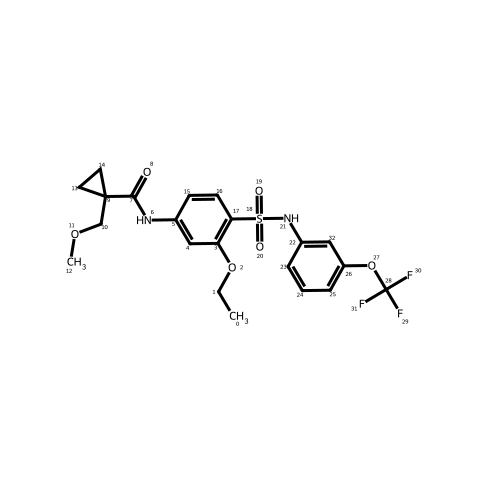 CCOc1cc(NC(=O)C2(COC)CC2)ccc1S(=O)(=O)Nc1cccc(OC(F)(F)F)c1